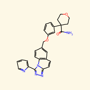 NC(=O)C1(c2cccc(OCc3ccc4c(ccc5nnc(-c6ccccn6)n54)c3)c2)CCOCC1